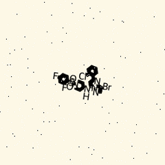 O=S(=O)(c1ccc(F)cc1F)N1CCC(Nc2cc(-c3ccccc3Cl)nc3c(Br)cnn23)CC1